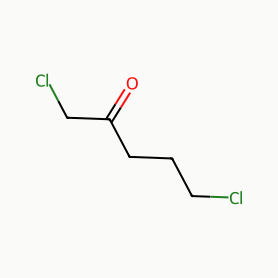 O=C(CCl)CCCCl